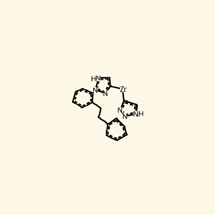 c1[nH]nn[c]1[Zr][c]1c[nH]nn1.c1ccc(CCc2ccccc2)cc1